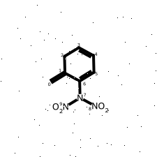 C=C1CC=CC=C1N([N+](=O)[O-])[N+](=O)[O-]